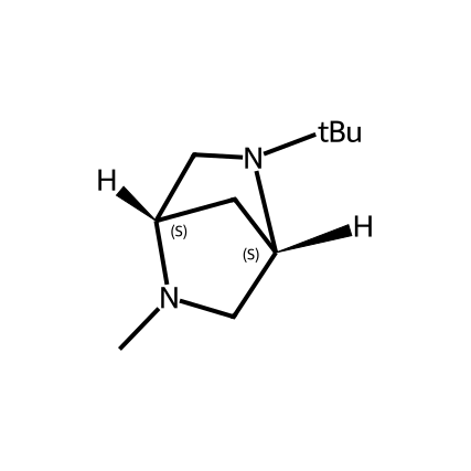 CN1C[C@@H]2C[C@H]1CN2C(C)(C)C